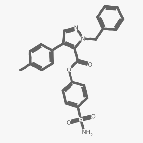 Cc1ccc(-c2cnn(Cc3ccccc3)c2C(=O)Oc2ccc(S(N)(=O)=O)cc2)cc1